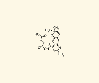 Cc1cc(C)c2cc3c(cc2n1)C=CC(C)(C)O3.O=C(O)C=CC(=O)O